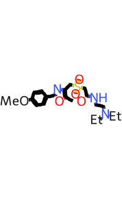 CCN(CC)CCNC(=O)CS(=O)(=O)Cc1nc(-c2ccc(OC)cc2)oc1C